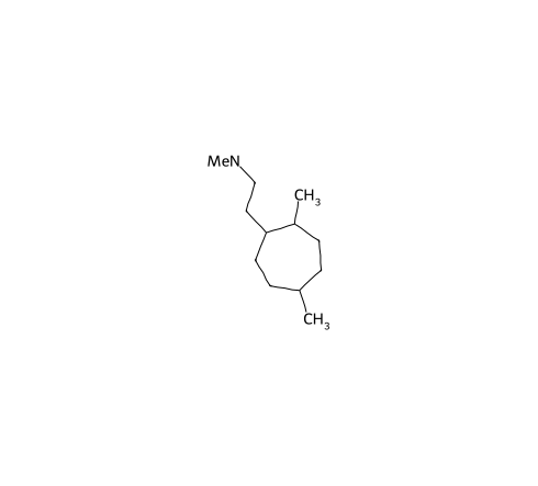 CNCCC1CCC(C)CCC1C